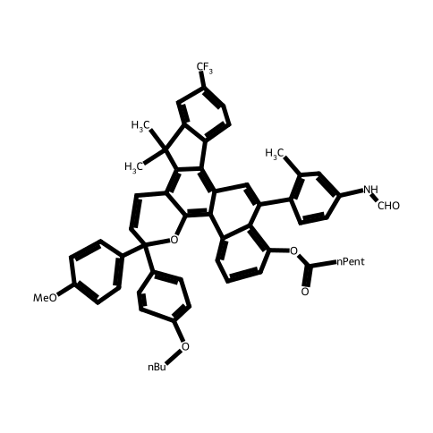 CCCCCC(=O)Oc1cccc2c1c(-c1ccc(NC=O)cc1C)cc1c3c(c4c(c12)OC(c1ccc(OC)cc1)(c1ccc(OCCCC)cc1)C=C4)C(C)(C)c1cc(C(F)(F)F)ccc1-3